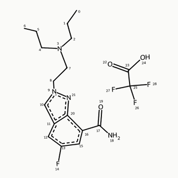 CCCN(CCC)CCn1cc2cc(F)cc(C(N)=O)c2n1.O=C(O)C(F)(F)F